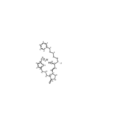 C[C@@H](CCCCCc1ccccc1)[C@H](O)/C=C/[C@H]1CCC(=O)N1CCCc1ccc(C(=O)O)s1